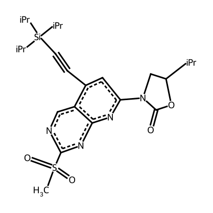 CC(C)C1CN(c2cc(C#C[Si](C(C)C)(C(C)C)C(C)C)c3cnc(S(C)(=O)=O)nc3n2)C(=O)O1